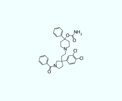 NC(=O)OC1(c2ccccc2)CCN(CCC2(c3ccc(Cl)c(Cl)c3)CCN(C(=O)c3ccccc3)C2)CC1